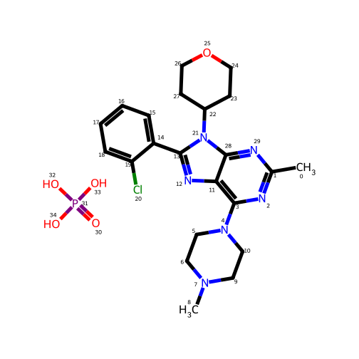 Cc1nc(N2CCN(C)CC2)c2nc(-c3ccccc3Cl)n(C3CCOCC3)c2n1.O=P(O)(O)O